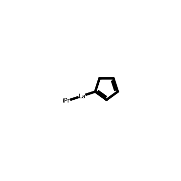 C[CH](C)[La][C]1=CC=CC1